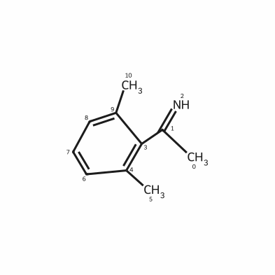 CC(=N)c1c(C)cccc1C